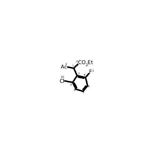 CCOC(=O)C(C(C)=O)c1c(F)cccc1Cl